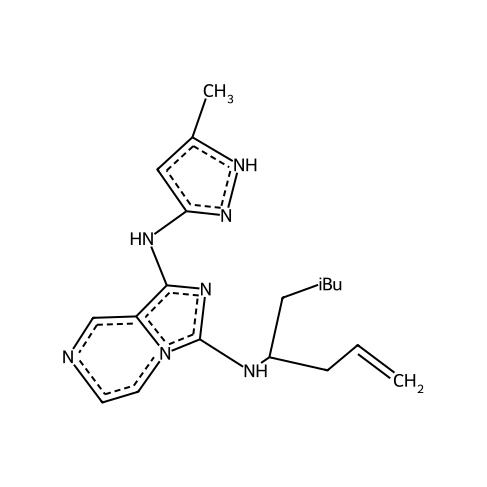 C=CCC(CC(C)CC)Nc1nc(Nc2cc(C)[nH]n2)c2cnccn12